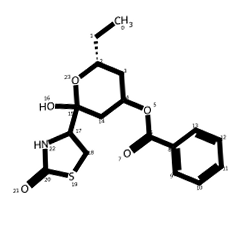 CC[C@@H]1CC(OC(=O)c2ccccc2)CC(O)(C2CSC(=O)N2)O1